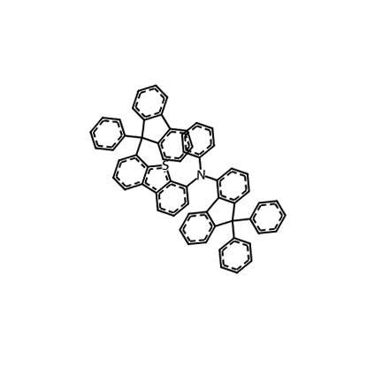 c1ccc(N(c2cccc3c2-c2ccccc2C3(c2ccccc2)c2ccccc2)c2cccc3c2sc2c(C4(c5ccccc5)c5ccccc5-c5ccccc54)cccc23)cc1